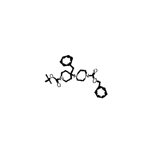 CC(C)(C)OC(=O)N1CCC(Cc2ccccc2)(N2CCN(C(=O)OCc3ccccc3)CC2)CC1